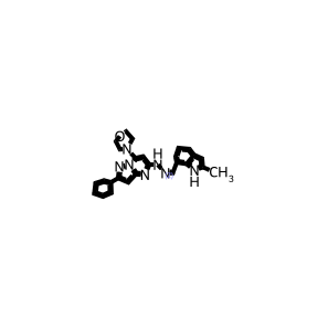 Cc1cc2cccc(/C=N\Nc3cc(N4CCOCC4)n4nc(-c5ccccc5)cc4n3)c2[nH]1